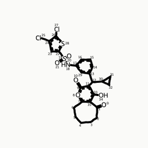 O=C1CCCCCc2oc(=O)c(C(c3cccc(NS(=O)(=O)c4cc(Cl)c(Cl)s4)c3)C3CC3)c(O)c21